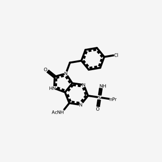 CCCS(=N)(=O)c1nc(NC(C)=O)c2[nH]c(=O)n(Cc3ccc(Cl)cc3)c2n1